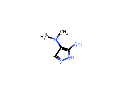 CN(C)c1cn[nH]c1N